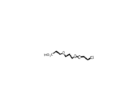 O=C(O)CCOCCCOCCCCl